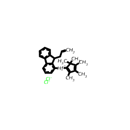 C=CCC1c2ccccc2-c2ccc[c]([Hf+2][C]3=C(C)C(C)=C(C)C3(C)C)c21.[Cl-].[Cl-]